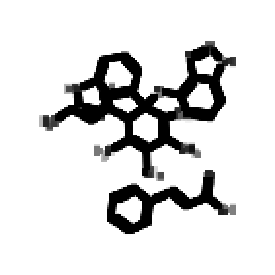 C=C(CCC)C1C(C)=C(C)C(C)=C(C)C1(Oc1cccc2[nH]nnc12)c1cccc2[nH]nnc12.O=C(O)C=Cc1ccccc1